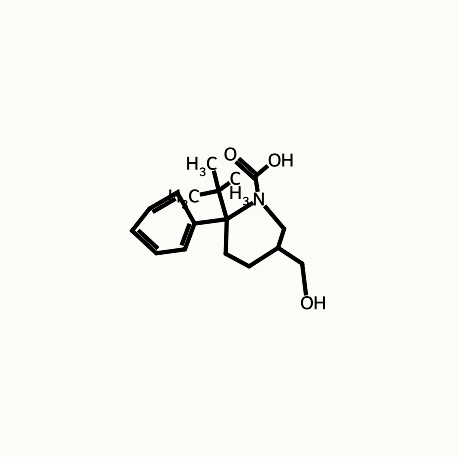 CC(C)(C)C1(c2ccccc2)CCC(CO)CN1C(=O)O